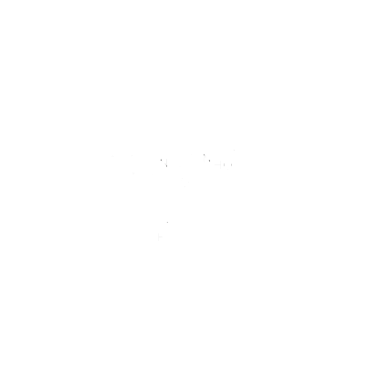 O=C(CNCC1(O)CCCCC1)N1CCc2ccccc2C1C1CCC(F)(F)CC1